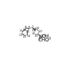 CN(C=O)C1CCN(CC2=Cc3ccccc32)CC1